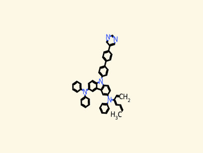 C=C/C(=C\C=C/C)N(c1ccccc1)c1ccc2c(c1)c1cc(N(c3ccccc3)c3ccccc3)ccc1n2-c1ccc(-c2ccc(-c3cncnc3)cc2)cc1